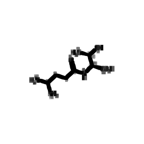 C[C@@H](O)[C@H](NC(=O)CCC(N)N)C(=O)O